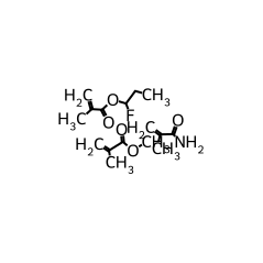 C=C(C)C(=O)OC.C=C(C)C(=O)OC(F)CC.C=C(C)C(N)=O